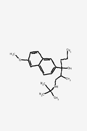 CCCC(O)(c1ccc2cc(OC)ccc2c1)C(C)CNC(C)(C)C